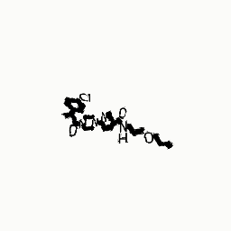 CCCCOCCCNC(=O)c1ccc(N2CCN(C(=O)C(C)c3ccc(Cl)cc3)CC2)nc1